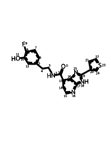 O=C(NCCc1ccc(F)c(O)c1)c1ccnc2[nH]c(-c3ccsc3)nc12